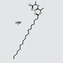 CCCCCCCCCCCCCCCCCC(=O)OC(C)C(=O)OC(C)C(=O)[O-].O.[Na+]